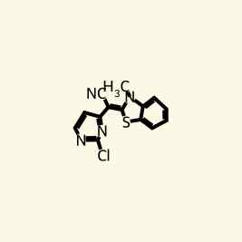 CN1C(=C(C#N)c2ccnc(Cl)n2)Sc2ccccc21